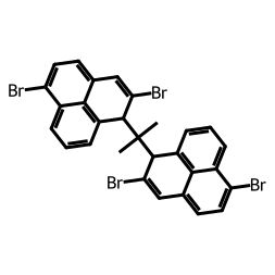 CC(C)(C1C(Br)=Cc2ccc(Br)c3cccc1c23)C1C(Br)=Cc2ccc(Br)c3cccc1c23